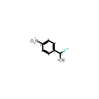 N#CC(F)c1ccc([N+](=O)[O-])cc1